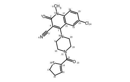 Cn1c(=O)c(C#N)c(N2CCN(C(=O)C3=CCCS3)CC2)c2cc(Cl)ccc21